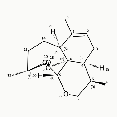 CC1=CC[C@H]2[C@@H](C)CO[C@@H]3O[C@]4(C)CC[C@@H]1[C@]32OO4